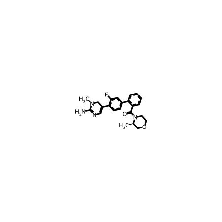 C[C@@H]1COCCN1C(=O)c1ccccc1-c1ccc(C2=CN=C(N)N(C)C2)c(F)c1